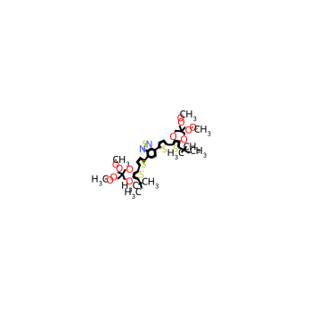 CCC(C)(C)c1sc(-c2ccc(-c3ccc(-c4ccc(-c5sc(C(C)(C)CC)c6c5OCC(COOC)(COOC)CO6)s4)c4nsnc34)s2)c2c1OCC(COOC)(COOC)CO2